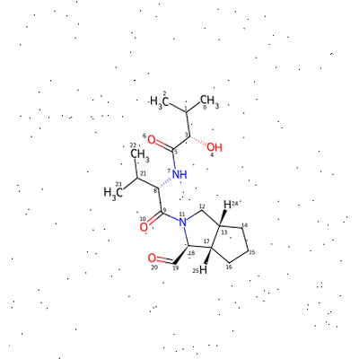 CC(C)[C@H](O)C(=O)N[C@H](C(=O)N1C[C@@H]2CCC[C@@H]2[C@H]1C=O)C(C)C